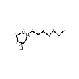 COCCCCCN1C[C@@H](C)CCO1